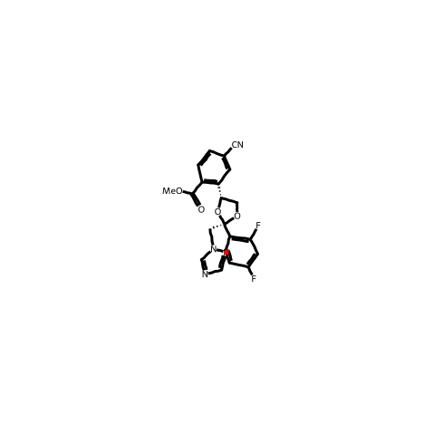 COC(=O)c1ccc(C#N)cc1[C@@H]1CO[C@@](Cn2cncn2)(c2ccc(F)cc2F)O1